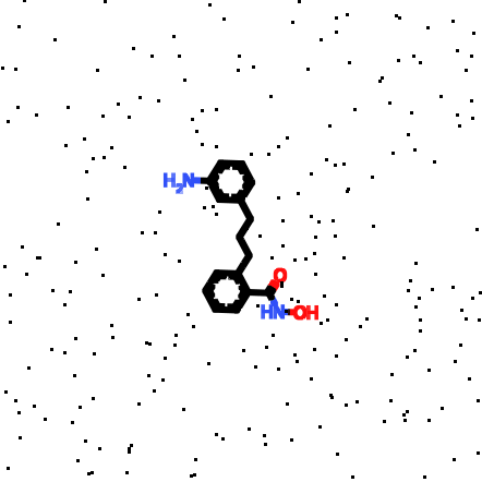 Nc1cccc(CCCc2ccccc2C(=O)NO)c1